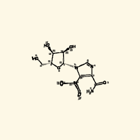 NC(=O)c1ncn([C@@H]2O[C@H](CO)[C@@H](O)[C@H]2O)c1[N+](=O)[O-]